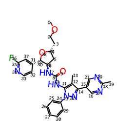 COCC[C@@H]1C[C@@H](NC(=O)Nc2c(C)c(-c3cnc(C)nc3)nn2-c2ccccc2)[C@H](c2ccnc(F)c2)O1